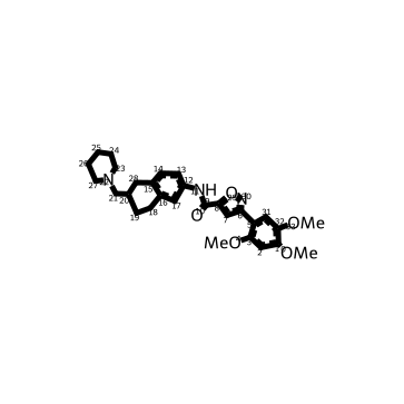 COc1cc(OC)c(-c2cc(C(=O)Nc3ccc4c(c3)CCC(CN3CCCCC3)C4)on2)cc1OC